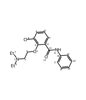 CCN(CC)CCOc1c(Cl)cccc1C(=O)Nc1ccccc1